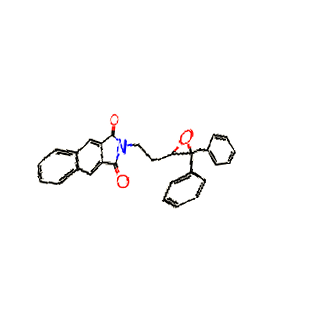 O=C1c2cc3ccccc3cc2C(=O)N1CCC1OC1(c1ccccc1)c1ccccc1